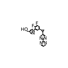 OCc1cnn(-c2cc(C3CC3c3cnc(-c4ncccn4)nc3)cc(F)c2F)c1